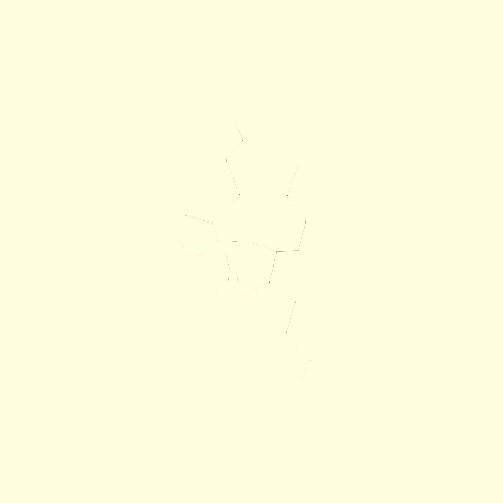 CCCCC(C)C(O[Si](OC)(OC)C(C)CCCC)C(C)CCCC